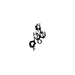 O=C(Nc1cccc(F)c1)c1ccnc(-n2ccnc2)n1